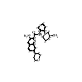 Nc1cc2ccc(C3CCOCC3)cc2nc1C(=O)Nc1cnccc1N1CCC[C@H](N)C1